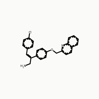 NC/C(=C/c1ccc(Cl)cc1)c1ccc(OCc2ccc3ccccc3n2)cc1